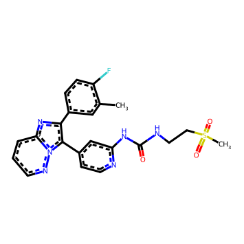 Cc1cc(-c2nc3cccnn3c2-c2ccnc(NC(=O)NCCS(C)(=O)=O)c2)ccc1F